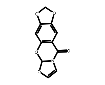 O=C1c2cc3c(cc2OC2OC=CN12)OCO3